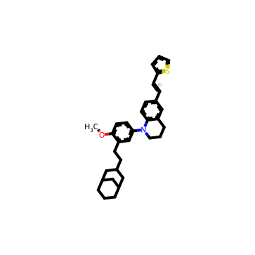 COc1ccc(N2CCCc3cc(/C=C/c4cccs4)ccc32)cc1CCC1CC2CCCC(C2)C1